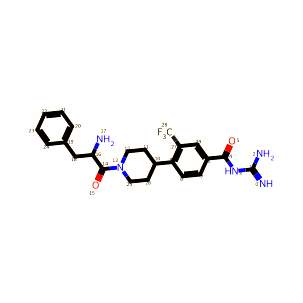 N=C(N)NC(=O)c1ccc(C2CCN(C(=O)C(N)Cc3ccccc3)CC2)c(C(F)(F)F)c1